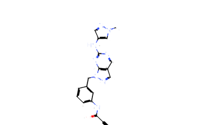 C#CC(=O)Nc1cccc(Cn2ncc3cnc(Nc4cnn(C)c4)nc32)c1